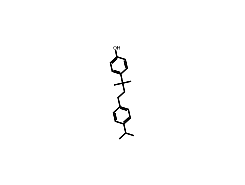 CC(C)c1ccc(CCC(C)(C)c2ccc(O)cc2)cc1